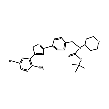 CC(C)(C)OC(=O)N(Cc1ccc(-c2cc(-c3nc(Br)cnc3N)on2)cc1)C1CCOCC1